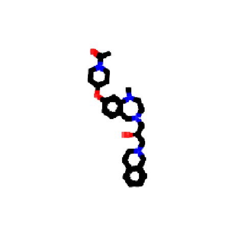 CC(=O)N1CCC(Oc2ccc3c(c2)N(C)CCN(C[C@H](O)CN2CCc4ccccc4C2)C3)CC1